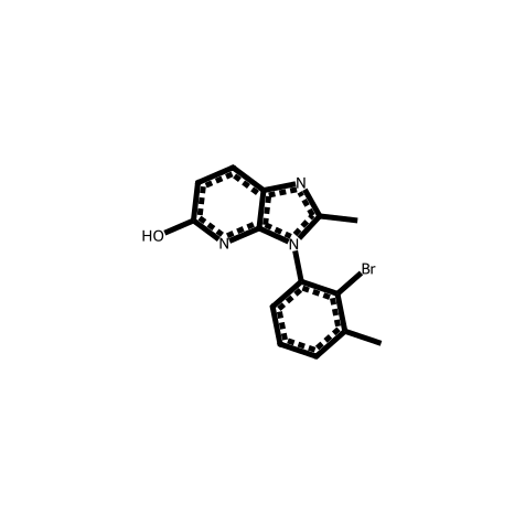 Cc1cccc(-n2c(C)nc3ccc(O)nc32)c1Br